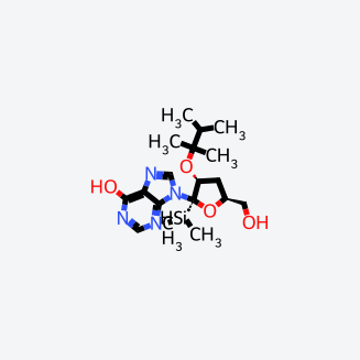 CC(C)C(C)(C)O[C@@H]1C[C@@H](CO)O[C@]1(n1cnc2c(O)ncnc21)[SiH](C)C